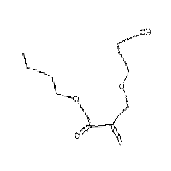 C=C(COCCO)C(=O)OCCCC